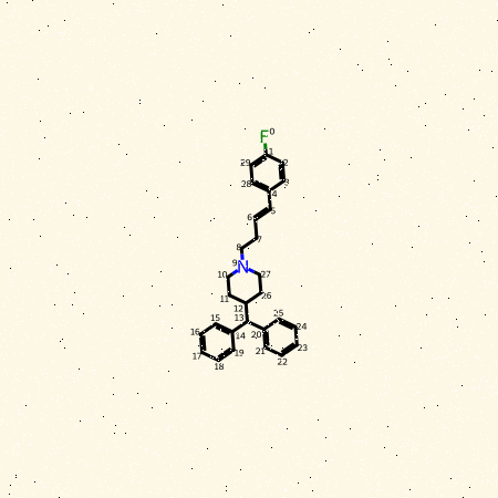 Fc1ccc(/C=C/CCN2CCC(C(c3ccccc3)c3ccccc3)CC2)cc1